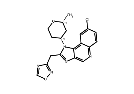 C[C@@H]1C[C@H](n2c(Cc3ncon3)nc3cnc4ccc(Cl)cc4c32)CCO1